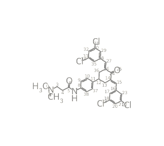 CN(C)CCC(=O)Nc1ccc(C2C/C(=C\c3cc(Cl)cc(Cl)c3)C(=O)/C(=C/c3cc(Cl)cc(Cl)c3)C2)cc1